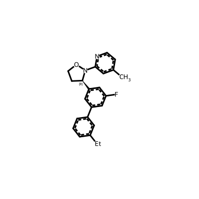 CCc1cccc(-c2cc(F)cc([C@H]3CCON3c3cc(C)ccn3)c2)c1